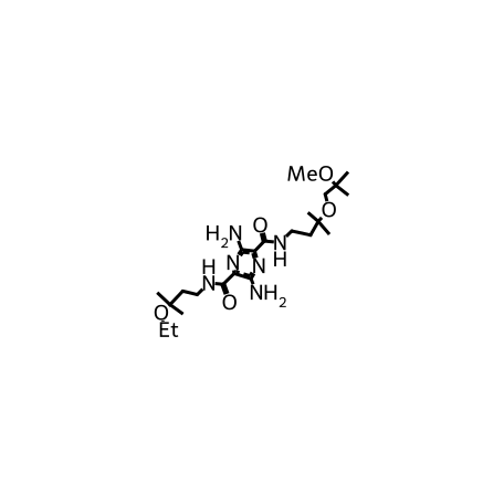 CCOC(C)(C)CCNC(=O)c1nc(N)c(C(=O)NCCC(C)(C)OCC(C)(C)OC)nc1N